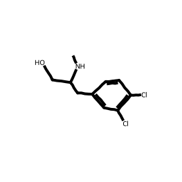 CNC(CO)Cc1ccc(Cl)c(Cl)c1